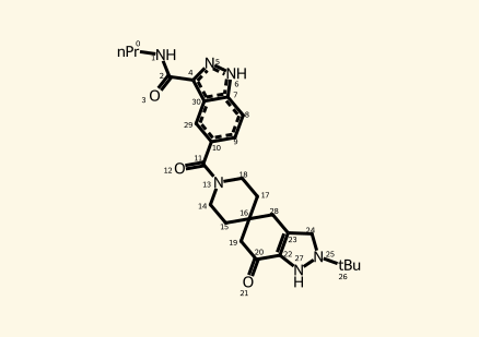 CCCNC(=O)c1n[nH]c2ccc(C(=O)N3CCC4(CC3)CC(=O)C3=C(CN(C(C)(C)C)N3)C4)cc12